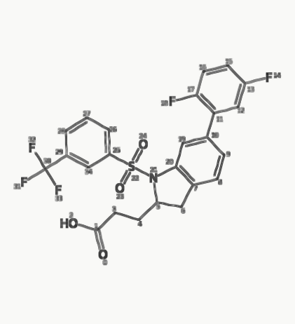 O=C(O)CCC1Cc2ccc(-c3cc(F)ccc3F)cc2N1S(=O)(=O)c1cccc(C(F)(F)F)c1